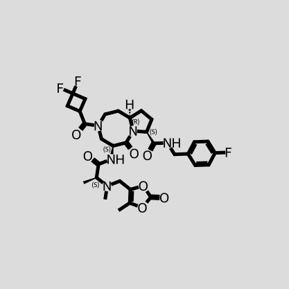 Cc1oc(=O)oc1CN(C)[C@@H](C)C(=O)N[C@H]1CN(C(=O)C2CC(F)(F)C2)CC[C@H]2CC[C@@H](C(=O)NCc3ccc(F)cc3)N2C1=O